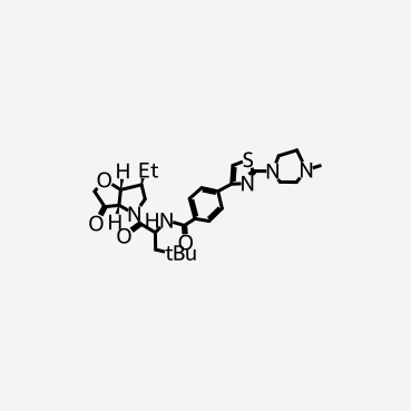 CC[C@H]1CN(C(=O)C(CC(C)(C)C)NC(=O)c2ccc(-c3csc(N4CCN(C)CC4)n3)cc2)[C@@H]2C(=O)CO[C@H]12